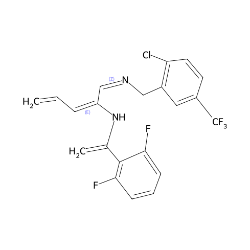 C=C/C=C(\C=N/Cc1cc(C(F)(F)F)ccc1Cl)NC(=C)c1c(F)cccc1F